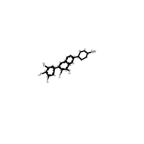 CCCC1CCC(c2ccc3cc(-c4cc(F)c(F)c(F)c4)c(F)c(F)c3c2)CC1